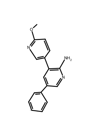 COc1ccc(-c2cc(-c3cc[c]cc3)cnc2N)cn1